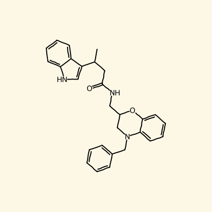 CC(CC(=O)NCC1CN(Cc2ccccc2)c2ccccc2O1)c1c[nH]c2ccccc12